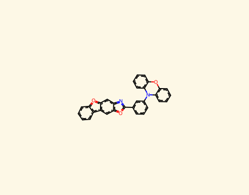 c1cc(-c2nc3cc4oc5ccccc5c4cc3o2)cc(N2c3ccccc3Oc3ccccc32)c1